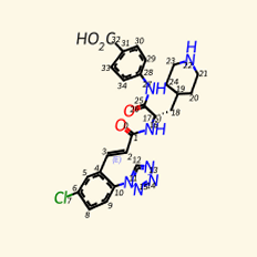 O=C(/C=C/c1cc(Cl)ccc1-n1cnnn1)N[C@@H](CC1CCNCC1)C(=O)Nc1ccc(C(=O)O)cc1